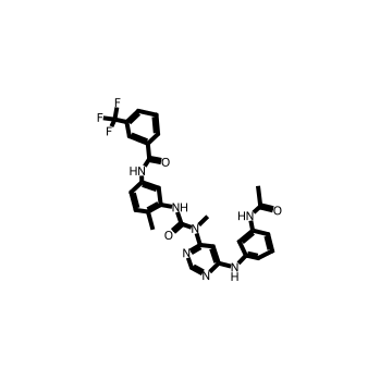 CC(=O)Nc1cccc(Nc2cc(N(C)C(=O)Nc3cc(NC(=O)c4cccc(C(F)(F)F)c4)ccc3C)ncn2)c1